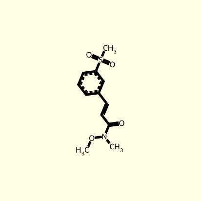 CON(C)C(=O)/C=C/c1cccc(S(C)(=O)=O)c1